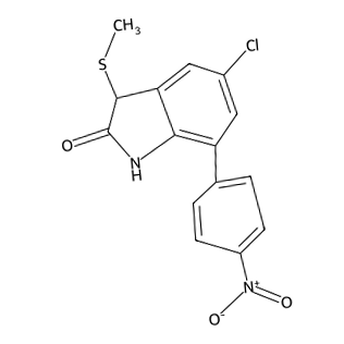 CSC1C(=O)Nc2c(-c3ccc([N+](=O)[O-])cc3)cc(Cl)cc21